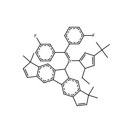 CCC1C=C(C(C)(C)C)C=[C]1[Zr](=[C](c1cccc(F)c1)c1cccc(F)c1)[CH]1c2cc3c(cc2-c2cc4c(cc21)C(C)(C)C=C4)C=CC3(C)C